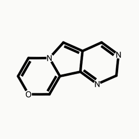 C1=Cn2cc3c(c2=CO1)=NCN=C3